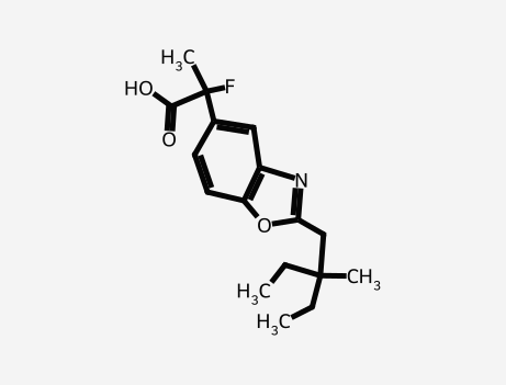 CCC(C)(CC)Cc1nc2cc(C(C)(F)C(=O)O)ccc2o1